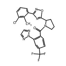 Cc1c(Cl)cccc1-c1noc(C2CCCN2C(=O)c2ccc(C(F)(F)F)cc2-n2nccn2)n1